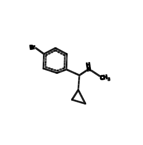 CNC(c1ccc(Br)cc1)C1CC1